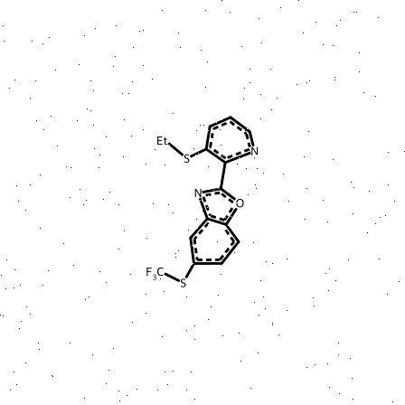 CCSc1cccnc1-c1nc2cc(SC(F)(F)F)ccc2o1